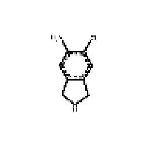 Nc1cc2c(cc1Cl)CNC2